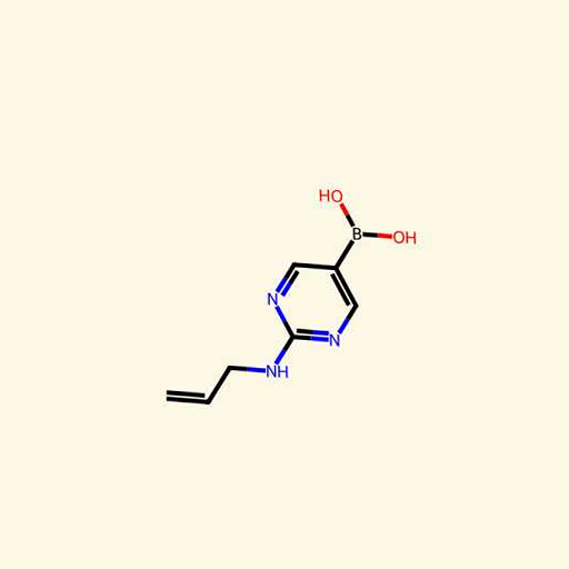 C=CCNc1ncc(B(O)O)cn1